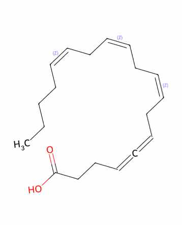 CCCC/C=C\C/C=C\C/C=C\CC=C=CCCC(=O)O